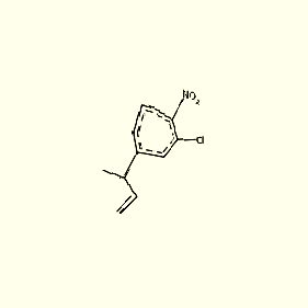 C=C[C](C)c1ccc([N+](=O)[O-])c(Cl)c1